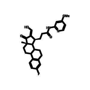 COc1ccnc(NC(=O)CC[C@@H]2/C(=C/O)C(=O)[C@@]3(C)CCC4c5ccc(F)cc5CCC4C23)c1